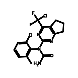 Cc1cccc(Cl)c1N(C(N)=O)c1nc2c(c(C(F)(F)Cl)n1)CCC2